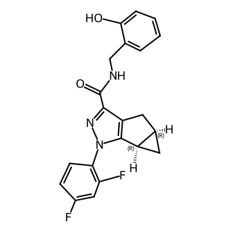 O=C(NCc1ccccc1O)c1nn(-c2ccc(F)cc2F)c2c1C[C@H]1C[C@@H]21